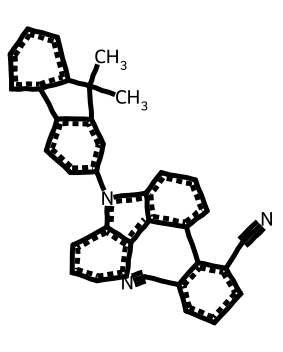 CC1(C)c2ccccc2-c2ccc(-n3c4ccccc4c4c(-c5c(C#N)cccc5C#N)cccc43)cc21